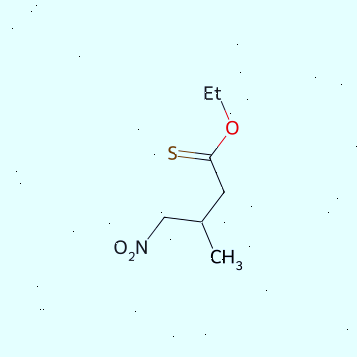 CCOC(=S)CC(C)C[N+](=O)[O-]